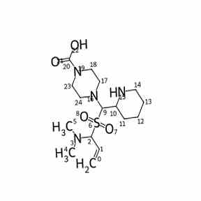 C=CC(N(C)C)S(=O)(=O)C(C1CCCCN1)N1CCN(C(=O)O)CC1